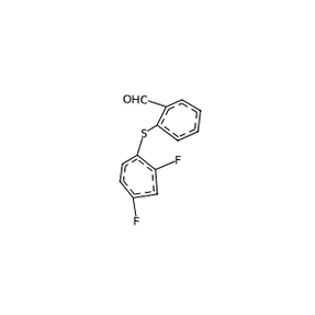 O=Cc1ccccc1Sc1ccc(F)cc1F